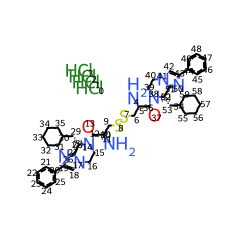 Cl.Cl.Cl.Cl.NC(CSSC[C@H](N)C(=O)N1CCn2cc(-c3ccccc3)nc2[C@@H]1CC1CCCCC1)C(=O)N1CCn2cc(-c3ccccc3)nc2[C@@H]1CC1CCCCC1